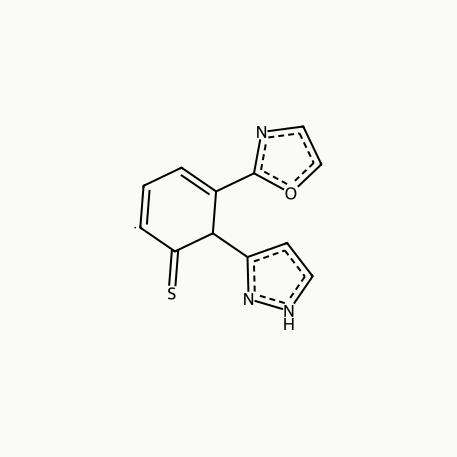 S=C1[C]=CC=C(c2ncco2)C1c1cc[nH]n1